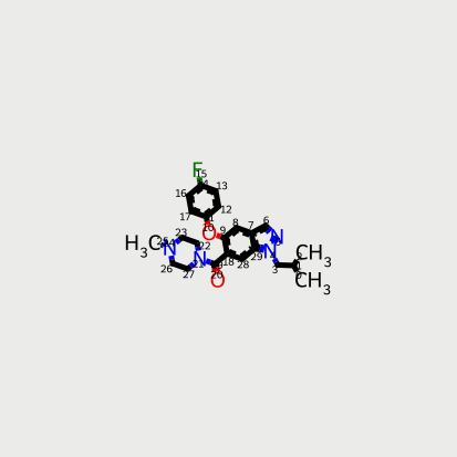 CC(C)Cn1ncc2cc(Oc3ccc(F)cc3)c(C(=O)N3CCN(C)CC3)cc21